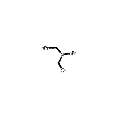 CCCCN(C[O])CCC